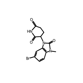 Cn1c(=O)n(C2CCC(=O)NC2=O)c2cc(Br)ccc21